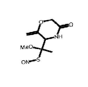 C=C1OCC(=O)NC1C(C)(OC)SN=O